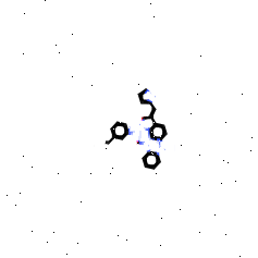 CCc1cccc(NC(=O)Nc2ccccc2Nc2ccc3c(c2)NC(=O)C3=Cc2ccc[nH]2)c1